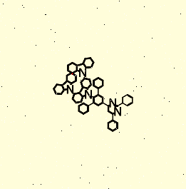 C1=CCC(c2nc(-c3ccccc3)cc(-c3cc(-c4ccccc4)c(-n4c5ccc(-n6c7ccccc7c7ccccc76)cc5c5c(-n6c7ccccc7c7ccccc76)cccc54)c(-c4ccccc4)c3)n2)C=C1